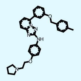 Cc1ccc(COc2cccc(-c3cccc4nc(Nc5ccc(OCCN6CCCC6)cc5)nn34)c2)cc1